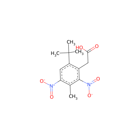 Cc1c([N+](=O)[O-])cc(C(C)(C)C)c(CC(=O)O)c1[N+](=O)[O-]